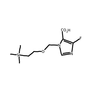 C[Si](C)(C)CCOCn1cnc(F)c1C(=O)O